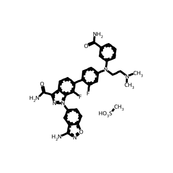 CN(C)CCN(c1cccc(C(N)=O)c1)c1ccc(-c2ccc3c(C(N)=O)nn(-c4ccc5onc(N)c5c4)c3c2F)c(F)c1.CS(=O)(=O)O